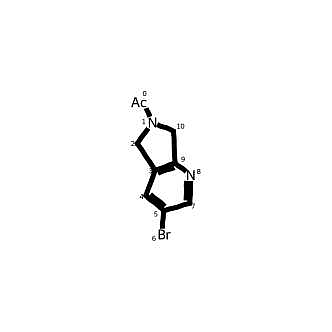 CC(=O)N1Cc2cc(Br)cnc2C1